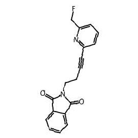 O=C1c2ccccc2C(=O)N1CCC#Cc1cccc(CF)n1